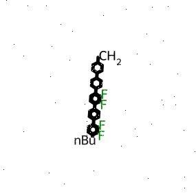 C=CC1CCC(C2CCC(c3ccc(-c4ccc(-c5ccc(CCCC)c(F)c5F)cc4)c(F)c3F)CC2)CC1